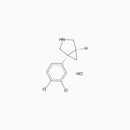 Cl.Clc1ccc([C@]23CNC[C@H]2C3)cc1Cl